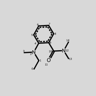 CCN(C)c1ccccc1C(=O)N(C)C